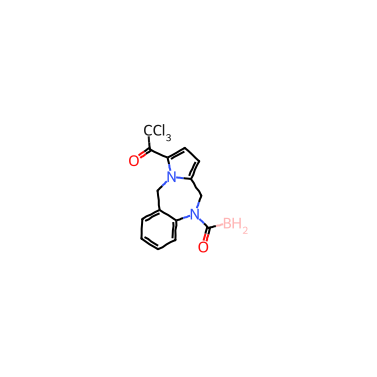 BC(=O)N1Cc2ccc(C(=O)C(Cl)(Cl)Cl)n2Cc2ccccc21